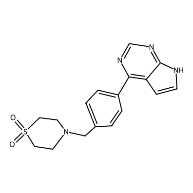 O=S1(=O)CCN(Cc2ccc(-c3ncnc4[nH]ccc34)cc2)CC1